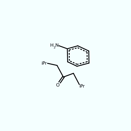 CC(C)CC(=O)CC(C)C.Nc1ccccc1